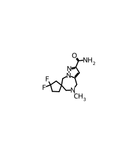 CN1Cc2cc(C(N)=O)nn2CC2(CCC(F)(F)C2)C1